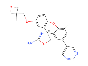 CC1(COc2ccc3c(c2)[C@@]2(COC(N)=N2)c2cc(-c4cncnc4)cc(F)c2O3)COC1